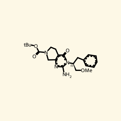 COC[C@H](Cc1ccccc1)n1c(N)nc2c(c1=O)CCN(C(=O)OC(C)(C)C)C2